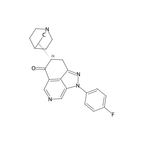 O=C1c2cncc3c2c(nn3-c2ccc(F)cc2)C[C@H]1C1CN2CCC1CC2